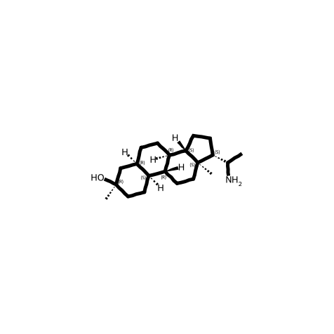 CC(N)[C@H]1CC[C@H]2[C@@H]3CC[C@@H]4C[C@](C)(O)CC[C@@H]4[C@H]3CC[C@]12C